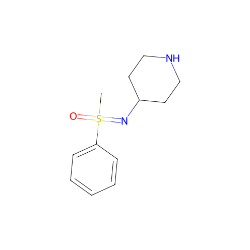 CS(=O)(=NC1CCNCC1)c1ccccc1